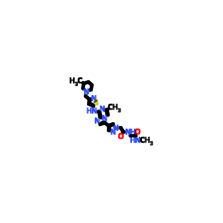 CNC(=O)CNC(=O)Cn1cc(-c2cnc3c(Nc4cc(CN5CCCC(C)C5)ns4)nc(C)cn23)cn1